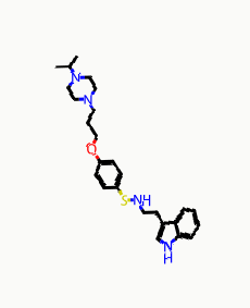 CC(C)N1CCN(CCCOc2ccc(SNCCc3c[nH]c4ccccc34)cc2)CC1